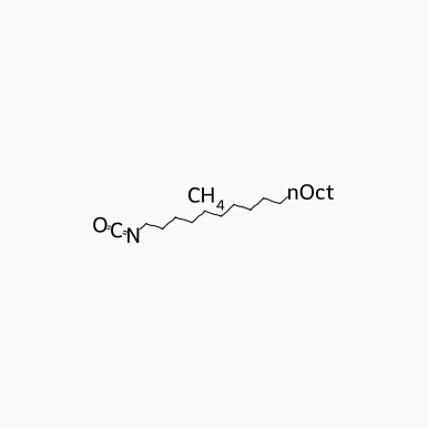 C.CCCCCCCCCCCCCCCCCCN=C=O